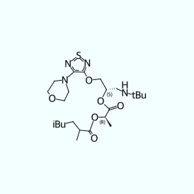 CCC(C)CC(C)C(=O)O[C@H](C)C(=O)O[C@@H](CNC(C)(C)C)COc1nsnc1N1CCOCC1